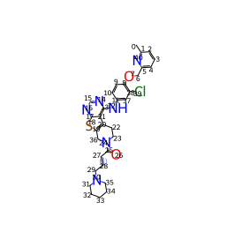 Cc1cccc(COc2ccc(Nc3ncnc4sc5c(c34)CCN(C(=O)/C=C/CN3CCCCC3)C5)cc2Cl)n1